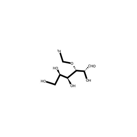 [2H]CO[C@@H]([C@@H](O)[C@H](O)CO)[C@@H](O)C=O